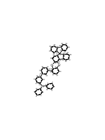 c1ccc(N(c2ccccc2)c2cccc(-c3cccc(-c4cccc5c4Oc4ccc6c(c4O5)-c4ccccc4C64c5ccccc5-c5ccccc54)c3)c2)cc1